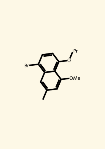 COc1cc(C)cc2c(Br)ccc(OC(C)C)c12